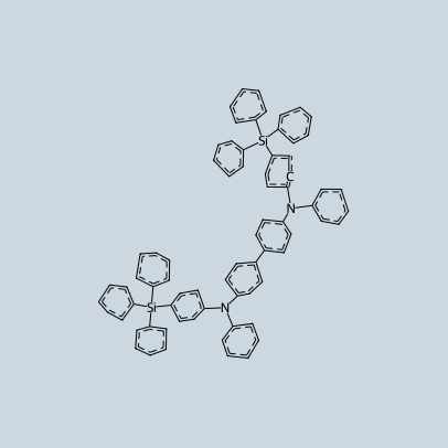 c1ccc(N(c2ccc(-c3ccc(N(c4ccccc4)c4ccc([Si](c5ccccc5)(c5ccccc5)c5ccccc5)cc4)cc3)cc2)c2ccc([Si](c3ccccc3)(c3ccccc3)c3ccccc3)cc2)cc1